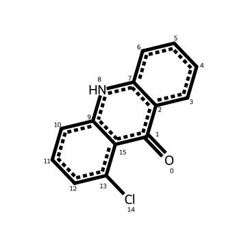 O=c1c2ccccc2[nH]c2cccc(Cl)c12